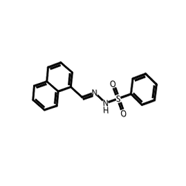 O=S(=O)(NN=Cc1cccc2ccccc12)c1ccccc1